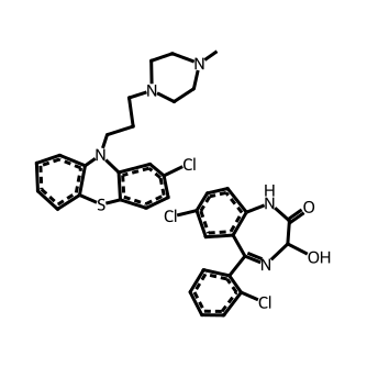 CN1CCN(CCCN2c3ccccc3Sc3ccc(Cl)cc32)CC1.O=C1Nc2ccc(Cl)cc2C(c2ccccc2Cl)=NC1O